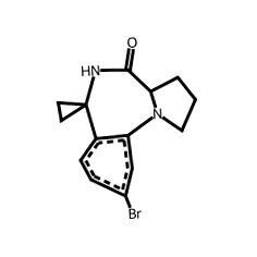 O=C1NC2(CC2)c2ccc(Br)cc2N2CCCC12